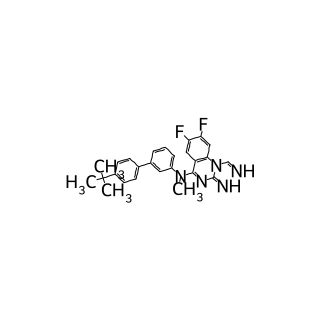 CN(c1cccc(-c2ccc(C(C)(C)C)cc2)c1)c1nc(=N)n(C=N)c2cc(F)c(F)cc12